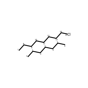 CCCCCCC.CCCCCCCCCl